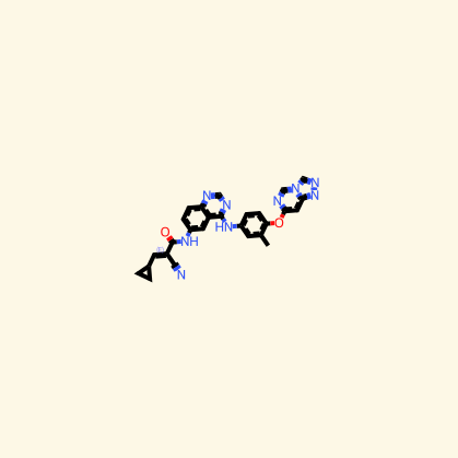 Cc1cc(Nc2ncnc3ccc(NC(=O)/C(C#N)=C/C4CC4)cc23)ccc1Oc1cc2nncn2cn1